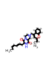 C=C/C=C\C=C\CC1NC(=O)C2CN(CC3=CC(CC)Oc4ccccc43)CCN2C1=O